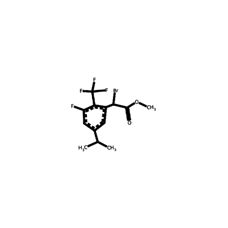 COC(=O)C(Br)c1cc(C(C)C)cc(F)c1C(F)(F)F